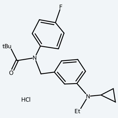 CCN(c1cccc(CN(C(=O)C(C)(C)C)c2ccc(F)cc2)c1)C1CC1.Cl